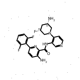 Nc1ccc(-c2c(F)cccc2F)nc1C(=O)Nc1cnccc1N1C[C@@H](N)C[C@@H](F)C1